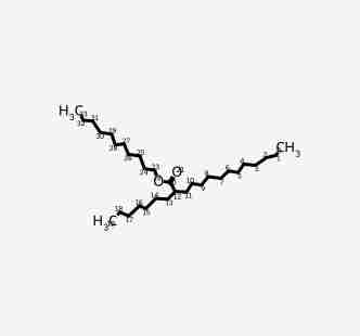 CCCCCCCCCCCCC(CCCCCCC)C(=O)OCCCCCCCCCCC